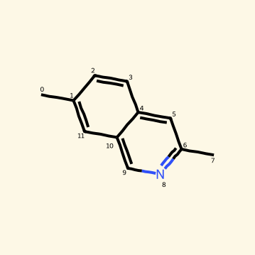 Cc1ccc2cc(C)ncc2c1